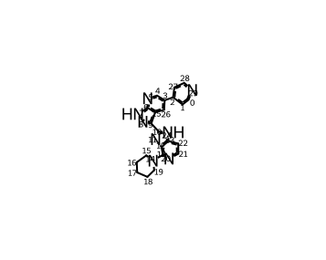 c1cc(-c2cnc3[nH]nc(-c4nc5c(N6CCCCC6)nccc5[nH]4)c3c2)ccn1